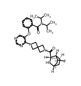 CC(C)N(C(=O)c1ccccc1Oc1cncnc1N1CC2(CN(C(=O)[C@H]3N[C@H]4CC[C@@H]3[C@@H](F)C4)C2)C1)C(C)C